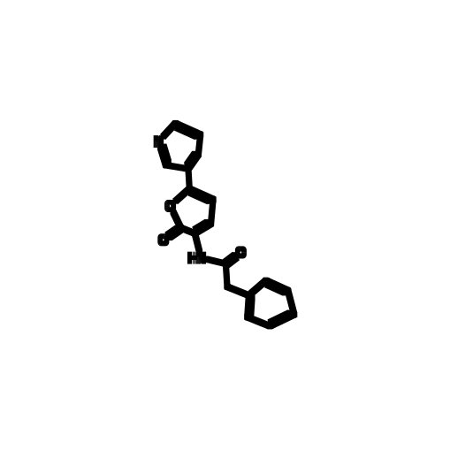 O=C(Cc1ccccc1)Nc1ccc(-c2cccnc2)oc1=O